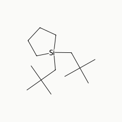 CC(C)(C)C[Si]1(CC(C)(C)C)CCCC1